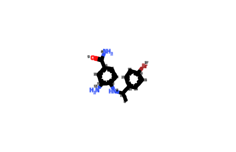 CC(Nc1ccc(C(N)=O)cc1N)c1ccc(Br)cc1